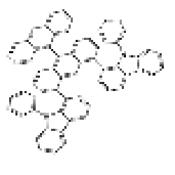 c1ccc(-n2c3ccccc3c3cccc(-c4cccc5c(-c6c7ccccc7cc7ccccc67)c6cccc(-c7cccc8c9ccccc9n(-c9ccccc9)c78)c6cc45)c32)cc1